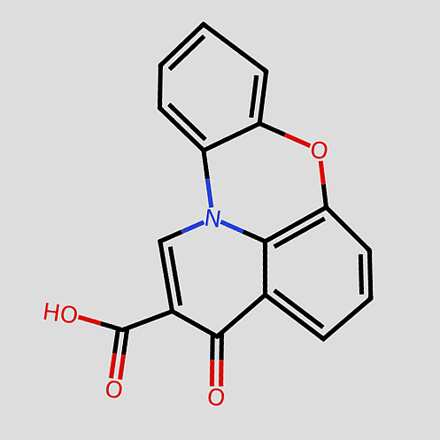 O=C(O)c1cn2c3c(cccc3c1=O)Oc1ccccc1-2